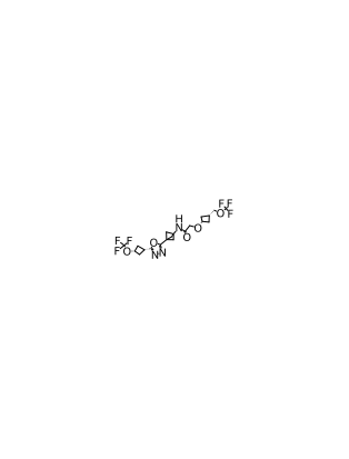 O=C(CO[C@H]1C[C@@H](COC(F)(F)F)C1)NC12CC(c3nnc([C@H]4C[C@@H](OC(F)(F)F)C4)o3)(C1)C2